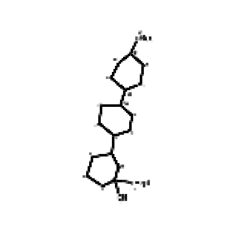 CCCCCCCC1(C#N)CCCC(C2CCC(C3CCC(CCCCCC)CC3)CC2)C1